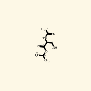 CC(=O)NC(CS)C(=O)OC(C)C